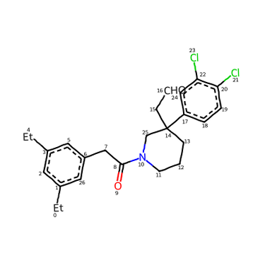 CCc1cc(CC)cc(CC(=O)N2CCCC(CC=O)(c3ccc(Cl)c(Cl)c3)C2)c1